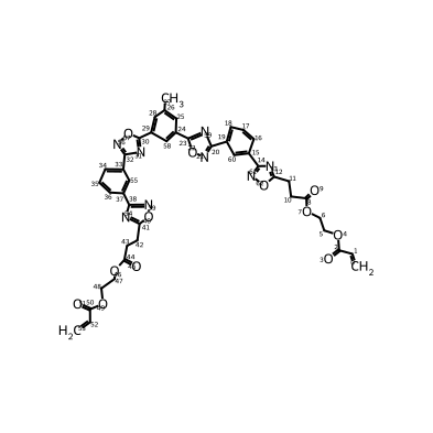 C=CC(=O)OCCOC(=O)CCc1nc(-c2cccc(-c3noc(-c4cc(C)cc(-c5nc(-c6cccc(-c7noc(CCC(=O)OCCOC(=O)C=C)n7)c6)no5)c4)n3)c2)no1